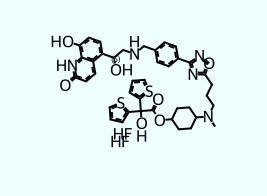 CN(CCCc1nc(-c2ccc(CNC[C@@H](O)c3ccc(O)c4[nH]c(=O)ccc34)cc2)no1)C1CCC(OC(=O)C(O)(c2cccs2)c2cccs2)CC1.F.F